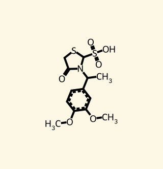 COc1ccc(C(C)N2C(=O)CSC2S(=O)(=O)O)cc1OC